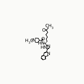 CCC(=O)CCCCC[C@H](NC(=O)C1CCN(C)CC1)c1ncc(-c2cc3ccccc3cn2)[nH]1